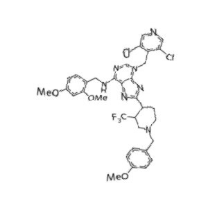 COc1ccc(CN2CCC(c3nc4c(NCc5ccc(OC)cc5OC)ncn(Cc5c(Cl)cncc5Cl)c-4n3)C(C(F)(F)F)C2)cc1